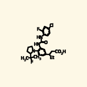 CCC(CC(=O)O)c1ccc(N2CCCC2C(C)(C)F)c(NC(=O)Nc2ccc(Cl)cc2F)c1